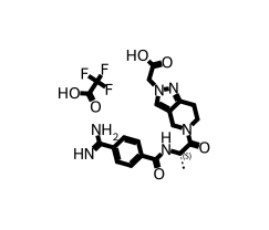 C[C@H](NC(=O)c1ccc(C(=N)N)cc1)C(=O)N1CCc2nn(CC(=O)O)cc2C1.O=C(O)C(F)(F)F